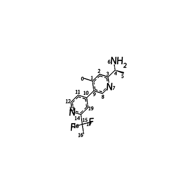 Cc1cc([C@H](C)N)ncc1-c1ccnc(C(C)(F)F)c1